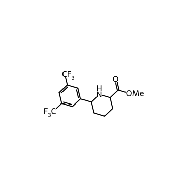 COC(=O)C1CCCC(c2cc(C(F)(F)F)cc(C(F)(F)F)c2)N1